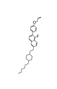 C=CCOc1ccc(-c2ccc3cc(CCC4CCC(CCCCCC)CC4)ccc3c2F)cc1